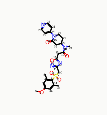 COc1cc(C)c(S(=O)(=O)Cc2noc(CC(=O)N(C)C3CCN(c4ccncc4)C(=O)C3)n2)c(C)c1